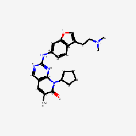 CN(C)CCc1coc2cc(Nc3ncc4cc(C#N)c(=O)n(C5CCCC5)c4n3)ccc12